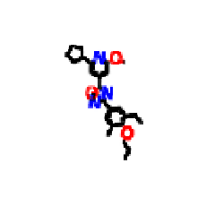 CCCOc1c(C)cc(-c2noc(-c3cc(OC)nc(C4CCCC4)c3)n2)cc1CC